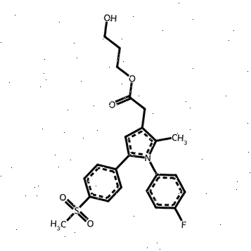 Cc1c(CC(=O)OCCCO)cc(-c2ccc(S(C)(=O)=O)cc2)n1-c1ccc(F)cc1